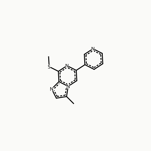 CSc1nc(-c2cccnc2)cn2c(C)cnc12